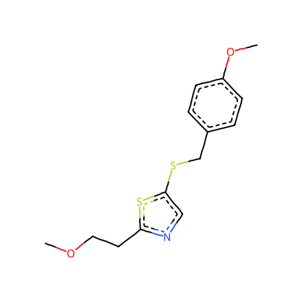 COCCc1ncc(SCc2ccc(OC)cc2)s1